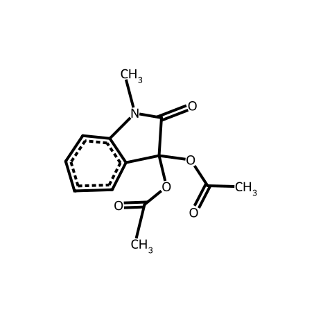 CC(=O)OC1(OC(C)=O)C(=O)N(C)c2ccccc21